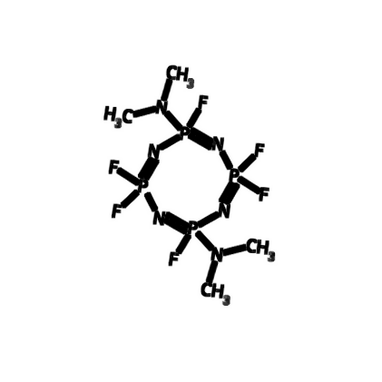 CN(C)P1(F)=NP(F)(F)=NP(F)(N(C)C)=NP(F)(F)=N1